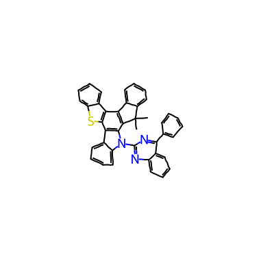 CC1(C)c2ccccc2-c2c1c1c(c3ccccc3n1-c1nc(-c3ccccc3)c3ccccc3n1)c1sc3ccccc3c21